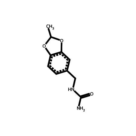 CC1Oc2ccc(CNC(N)=O)cc2O1